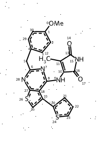 COc1ccc(Cc2nc(NC3=C(C)C(=O)NC3=O)c3c(-c4cccs4)csc3n2)cc1